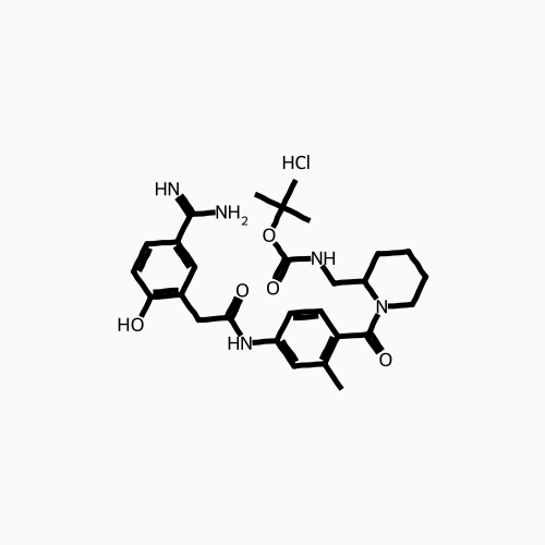 Cc1cc(NC(=O)Cc2cc(C(=N)N)ccc2O)ccc1C(=O)N1CCCCC1CNC(=O)OC(C)(C)C.Cl